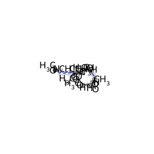 CO[C@@H](/C(C)=C/C=C/C(C)=C/c1coc(C)n1)[C@@H](C)[C@@H]1C[C@H](O)[C@]2(C)O[C@@H]2/C=C/[C@@H](C)[C@H]2C[C@H](CC(=O)O2)C[C@H]2OC2(C)C(=O)O1